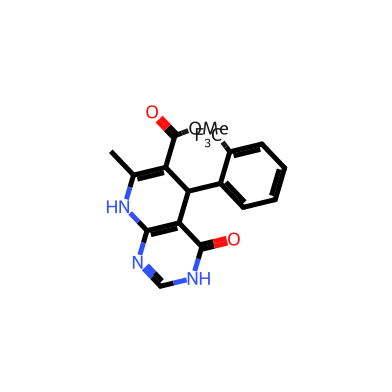 COC(=O)C1=C(C)Nc2nc[nH]c(=O)c2C1c1ccccc1C(F)(F)F